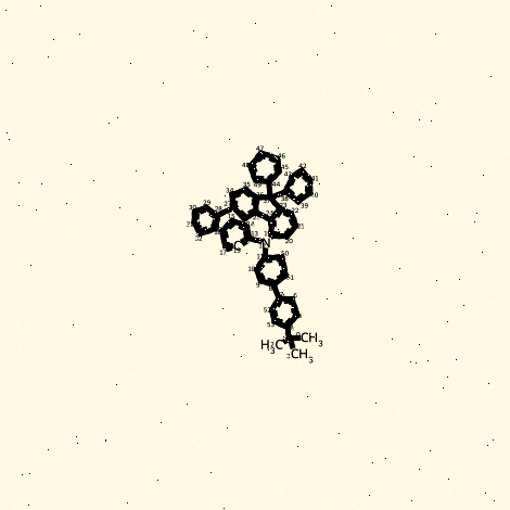 CC(C)(C)c1ccc(-c2ccc(N(c3ccccc3)c3cccc4c3-c3cc(-c5ccccc5)ccc3C4(c3ccccc3)c3ccccc3)cc2)cc1